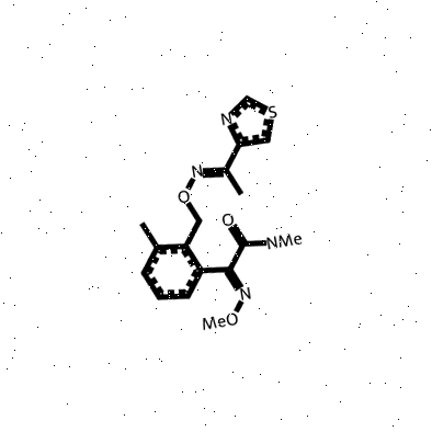 CNC(=O)/C(=N/OC)c1cccc(C)c1CO/N=C(\C)c1cscn1